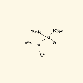 CCCCN(CC)[Si](CC)(NC)NC